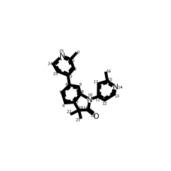 Cc1cc(-c2ccc3c(c2)N(c2ccnc(C)c2)C(=O)C3(C)C)ccn1